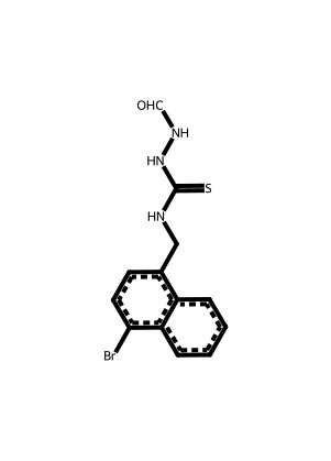 O=CNNC(=S)NCc1ccc(Br)c2ccccc12